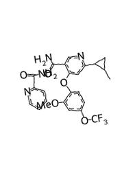 COc1cc(OC(F)(F)F)ccc1Oc1cc(C2CC2C)ncc1C(N)=O.NC(=O)c1ccccn1